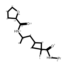 CC(C)NC(=O)C1(F)CC(CC(C)NC(=O)C2CCCO2)C1